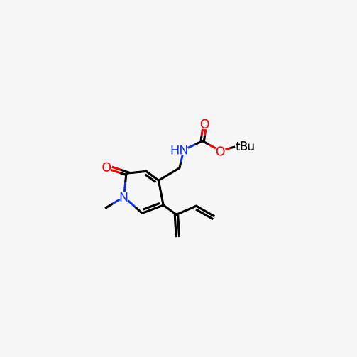 C=CC(=C)c1cn(C)c(=O)cc1CNC(=O)OC(C)(C)C